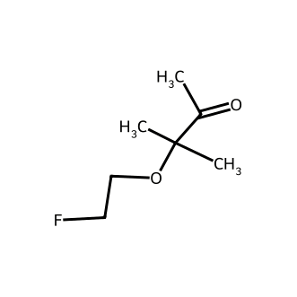 CC(=O)C(C)(C)OCCF